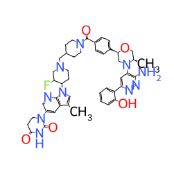 Cc1cn([C@@H]2CCN(CC3CCN(C(=O)c4ccc([C@@H]5CN(c6cc(-c7ccccc7O)nnc6N)[C@H](C)CO5)cc4)CC3)C[C@@H]2F)c2ncc(N3CCC(=O)NC3=O)cc12